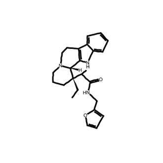 CC[C@@]1(C(C)C(=O)NCc2ccco2)CCCN2CCc3c([nH]c4ccccc34)[C@@H]21